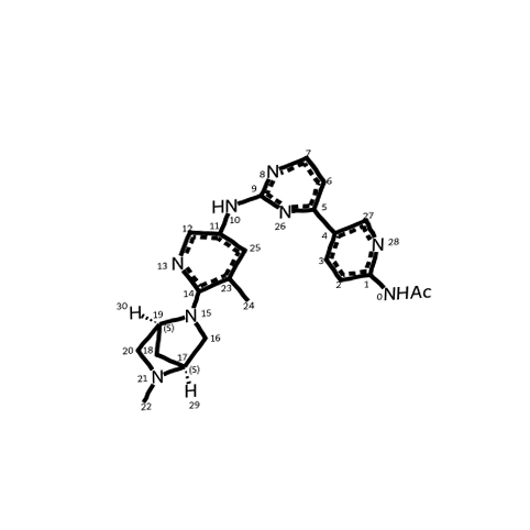 CC(=O)Nc1ccc(-c2ccnc(Nc3cnc(N4C[C@@H]5C[C@H]4CN5C)c(C)c3)n2)cn1